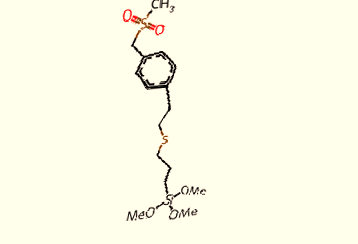 CO[Si](CCCSCCc1ccc(CS(C)(=O)=O)cc1)(OC)OC